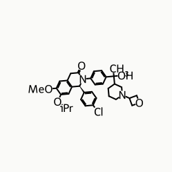 COc1cc2c(cc1OC(C)C)[C@H](c1ccc(Cl)cc1)N(c1ccc(C(C)(O)C3CCCN(C4COC4)C3)cc1)C(=O)C2